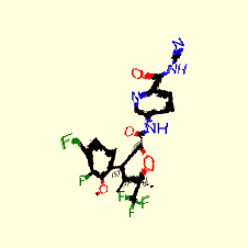 COc1c([C@H]2[C@H](C(=O)Nc3ccc(C(=O)NC#N)nc3)O[C@@](C)(C(F)(F)F)[C@H]2C)ccc(F)c1F